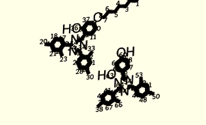 CCCCCCCCOc1ccc(-c2nc(-c3ccc(C)cc3C)nc(-c3ccc(C)cc3C)n2)c(O)c1.Cc1ccc(-c2nc(-c3ccc(C)cc3C)nc(-c3ccc(O)cc3O)n2)c(C)c1